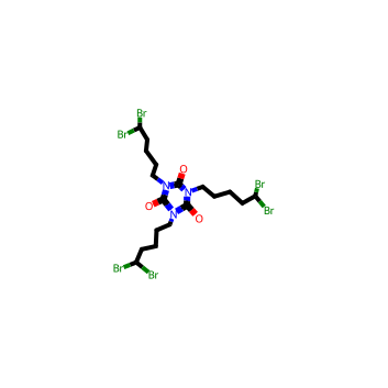 O=c1n(CCCCC(Br)Br)c(=O)n(CCCCC(Br)Br)c(=O)n1CCCCC(Br)Br